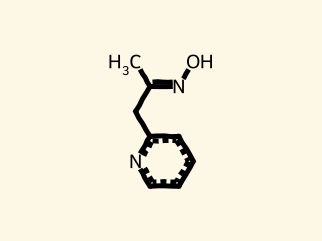 CC(Cc1ccccn1)=NO